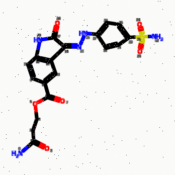 NC(=O)CCOC(=O)c1ccc2c(c1)C(=NNc1ccc(S(N)(=O)=O)cc1)C(=O)N2